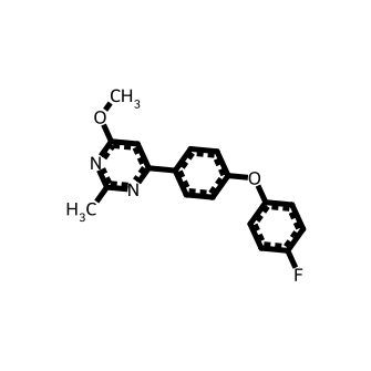 COc1cc(-c2ccc(Oc3ccc(F)cc3)cc2)nc(C)n1